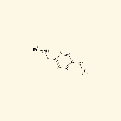 CC(C)NCc1ccc(OC(F)(F)F)cc1